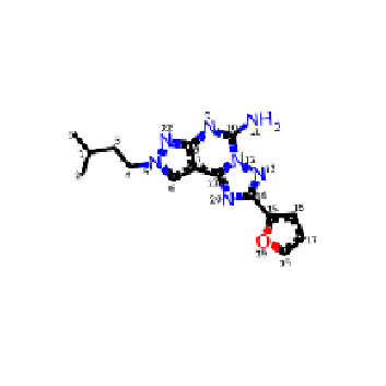 CC(C)CCn1cc2c(nc(N)n3nc(-c4ccco4)nc23)n1